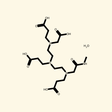 CNC(=O)CN(CCC(=O)O)CCN(CCC(=O)O)CCN(CCC(=O)O)CC(=O)O.O